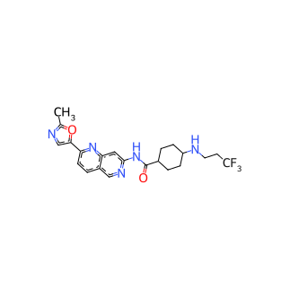 Cc1ncc(-c2ccc3cnc(NC(=O)C4CCC(NCCC(F)(F)F)CC4)cc3n2)o1